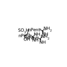 CCCCCC(=N)N.CCCCCC(=N)N.CCCCCC(=N)N.O=S(=O)(O)CCO